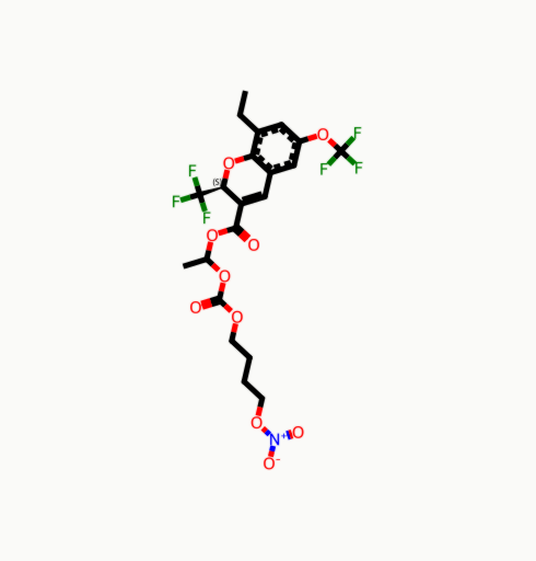 CCc1cc(OC(F)(F)F)cc2c1O[C@H](C(F)(F)F)C(C(=O)OC(C)OC(=O)OCCCCO[N+](=O)[O-])=C2